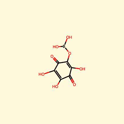 O=C1C(O)=C(O)C(=O)C(OB(O)O)=C1O